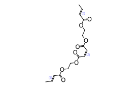 C/C=C/C(=O)OCCOC(=O)/C=C\C(=O)OCCOC(=O)/C=C/C